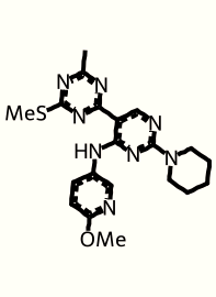 COc1ccc(Nc2nc(N3CCCCC3)ncc2-c2nc(C)nc(SC)n2)cn1